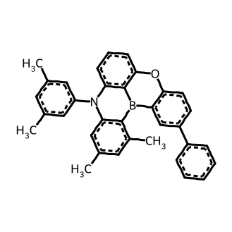 Cc1cc(C)cc(N2c3cc(C)cc(C)c3B3c4cc(-c5ccccc5)ccc4Oc4cccc2c43)c1